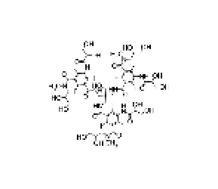 CN(CC(O)CO)C(=O)c1c(I)c(NC(=O)C(O)CO)c(I)c(C(=O)NCC(CO)(CNC(=O)c2c(I)c(NC(=O)C(O)CO)c(I)c(C(=O)N(C)CC(O)CO)c2I)CNC(=O)c2c(I)c(NC(=O)C(O)CO)c(I)c(C(=O)N(C)CC(O)CO)c2I)c1I